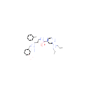 CCCN(CCC)c1cc(C(=O)N[C@@H](Cc2ccccc2)[C@H](O)CNCc2cccc(OC)c2)ccn1